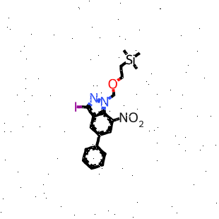 C[Si](C)(C)CCOCn1nc(I)c2cc(-c3ccccc3)cc([N+](=O)[O-])c21